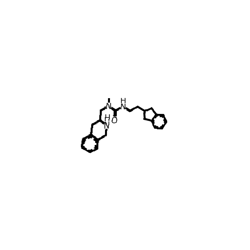 CN(CC1Cc2ccccc2CN1)C(=O)NCCC1Cc2ccccc2C1